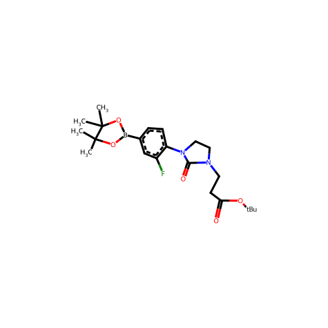 CC(C)(C)OC(=O)CCN1CCN(c2ccc(B3OC(C)(C)C(C)(C)O3)cc2F)C1=O